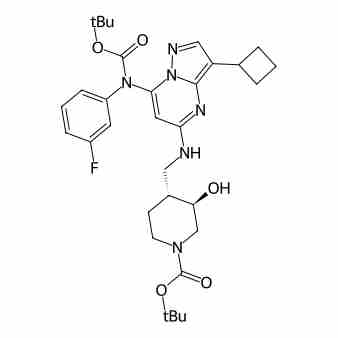 CC(C)(C)OC(=O)N1CC[C@H](CNc2cc(N(C(=O)OC(C)(C)C)c3cccc(F)c3)n3ncc(C4CCC4)c3n2)[C@@H](O)C1